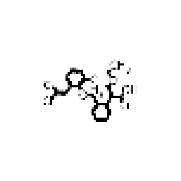 CCON=C(C(=O)O)c1ccccc1COc1c(C)cccc1C=C(Cl)Cl